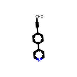 O=CC#Cc1ccc(-c2ccncc2)cc1